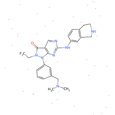 CN(C)Cc1cccc(-n2c3nc(Nc4ccc5c(c4)CNCC5)ncc3c(=O)n2CC(F)(F)F)c1